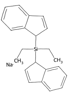 CC[Si](CC)(C1C=Cc2ccccc21)C1C=Cc2ccccc21.[Na]